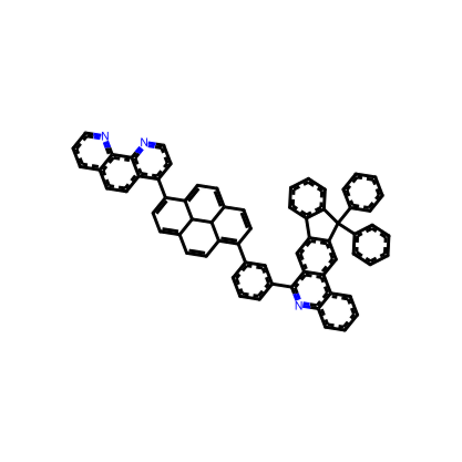 C1=CC2=C(c3cccc(-c4nc5ccccc5c5cc6c(cc45)-c4ccccc4C6(c4ccccc4)c4ccccc4)c3)C=CC3=CC=C4C(c5ccnc6c5ccc5cccnc56)=CC=C1C4C32